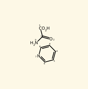 NC(=O)C(=O)O.c1ccncc1